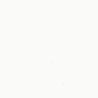 O=Cc1ccc(/C=C/C(=O)N2CCc3c([nH]c4ccccc34)C2c2ccc3c(c2)OCO3)cc1